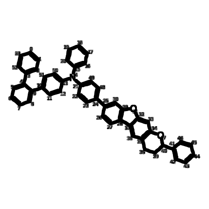 c1ccc(-c2ccccc2-c2ccc(N(c3ccccc3)c3ccc(-c4ccc5c(c4)oc4cc6c(cc45)CCC(c4ccccc4)O6)cc3)cc2)cc1